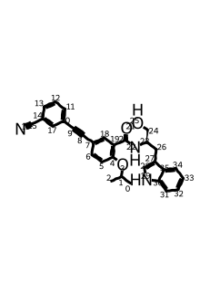 CC(C)Oc1ccc(C#Cc2cccc(C#N)c2)cc1C(=O)N[C@@H](CO)Cc1c[nH]c2ccccc12